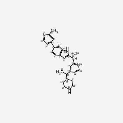 Cc1cc(-c2ccc3nc(Nc4cc(C(C)N5CCNCC5)ccn4)[nH]c3c2)ncn1.Cl